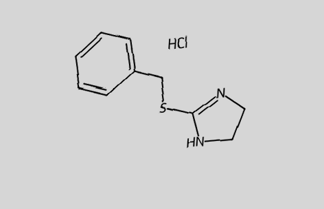 Cl.c1ccc(CSC2=NCCN2)cc1